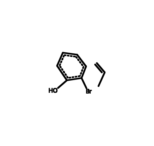 C=CC.Oc1ccccc1Br